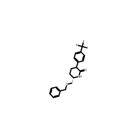 O=C1N[C@H](COCc2ccccc2)CCC1c1ccc(C(F)(F)F)cc1